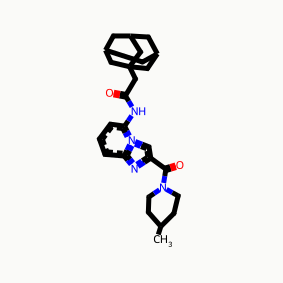 CC1CCN(C(=O)c2cn3c(NC(=O)CC45CC6CC(CC(C6)C4)C5)cccc3n2)CC1